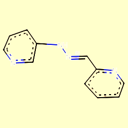 C(=N\Nc1cccnc1)/c1ccccn1